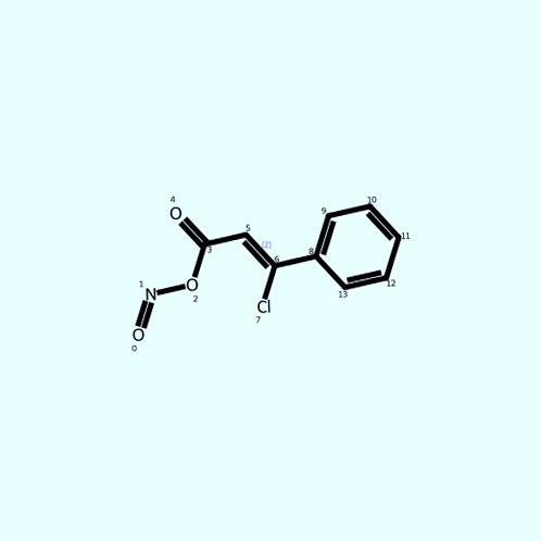 O=NOC(=O)/C=C(\Cl)c1ccccc1